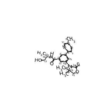 Cc1ccc(-c2cc(C(=O)N[C@@H](C)CO)cc(N3C(=O)OCC3(C)C)c2)nc1